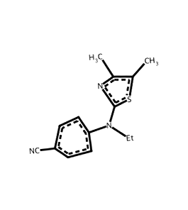 CCN(c1ccc(C#N)cc1)c1nc(C)c(C)s1